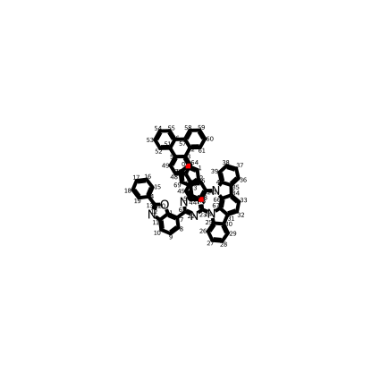 c1ccc(-c2nc(-c3cccc4nc(-c5ccccc5)oc34)nc(-n3c4ccccc4c4ccc5c6ccccc6n(-c6cccc(-c7ccc8c9ccccc9c9ccccc9c8c7)c6)c5c43)n2)cc1